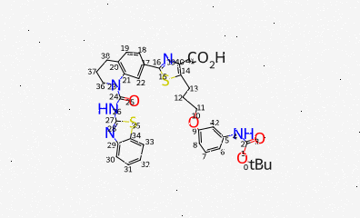 CC(C)(C)OC(=O)Nc1cccc(OCCCc2sc(-c3ccc4c(c3)N(C(=O)Nc3nc5ccccc5s3)CCC4)nc2C(=O)O)c1